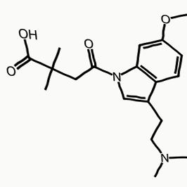 COc1ccc2c(CCN(C)C)cn(C(=O)CC(C)(C)C(=O)O)c2c1